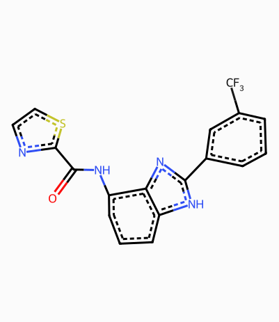 O=C(Nc1cccc2[nH]c(-c3cccc(C(F)(F)F)c3)nc12)c1nccs1